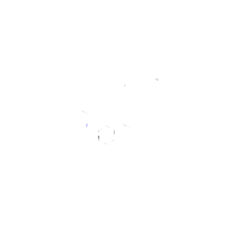 CCCCCCCCCCCCC(COC(=O)c1ccc(Cl)c(NC(=CC(=O)OCC)OCC)c1)OCCCC